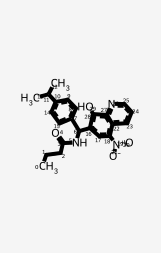 CCCC(=O)NC(c1ccc(C(C)C)cc1)c1cc([N+](=O)[O-])c2cccnc2c1O